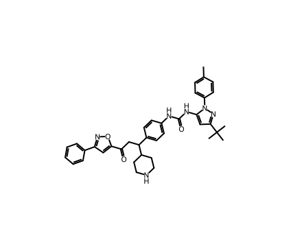 Cc1ccc(-n2nc(C(C)(C)C)cc2NC(=O)Nc2ccc(C(CC(=O)c3cc(-c4ccccc4)no3)C3CCNCC3)cc2)cc1